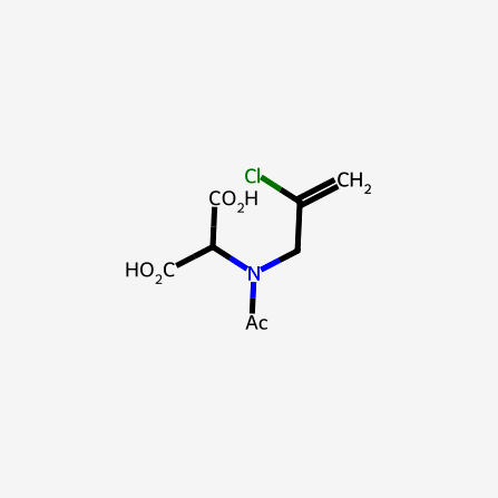 C=C(Cl)CN(C(C)=O)C(C(=O)O)C(=O)O